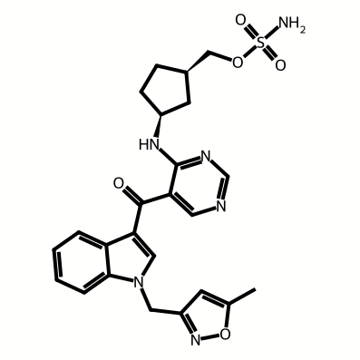 Cc1cc(Cn2cc(C(=O)c3cncnc3N[C@H]3CC[C@@H](COS(N)(=O)=O)C3)c3ccccc32)no1